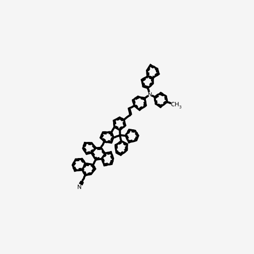 Cc1ccc(N(c2ccc(/C=C/c3ccc4c(c3)C(c3ccccc3)(c3ccccc3)c3cc(-c5c6ccccc6c(-c6ccc(C#N)c7ccccc67)c6ccccc56)ccc3-4)cc2)c2ccc3ccccc3c2)cc1